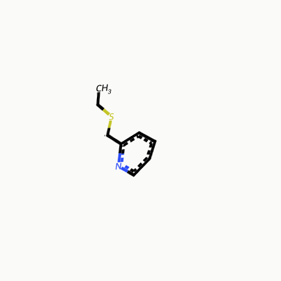 CCS[CH]c1ccccn1